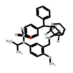 COc1ccc(N(C(C)C)S(C)(=O)=O)cc1CN[C@H]1C2CCN(CC2)[C@H]1C(c1ccccc1)c1ccccc1